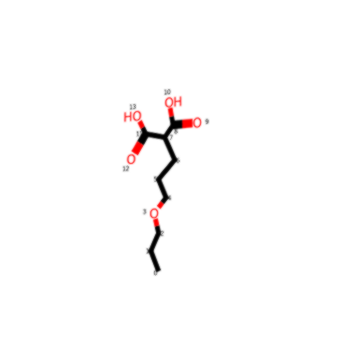 CCCOCCCC(C(=O)O)C(=O)O